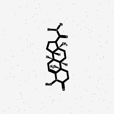 CCN(CC)C(=O)C1CC[C@H]2[C@@H]3CC=C4N(OC)C(=O)CC[C@]4(C)[C@@H]3CC[C@]12C